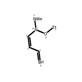 B=C/C=C\N(NC)OCC